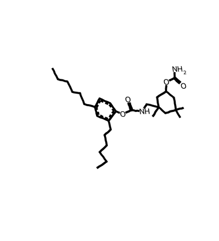 CCCCCCc1ccc(OC(=O)NCC2(C)CC(OC(N)=O)CC(C)(C)C2)c(CCCCCC)c1